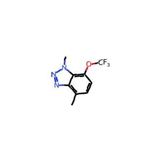 Cc1ccc(OC(F)(F)F)c2c1nnn2C